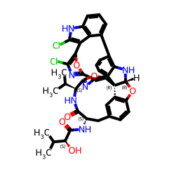 CC(C)[C@H](O)C(=O)N[C@H]1Cc2ccc3c(c2)[C@]24c5cccc(c5N[C@@H]2O3)-c2cccc3[nH]c(Cl)c(c23)-c2oc(nc2Cl)-c2nc(oc24)[C@H](C(C)C)NC1=O